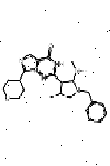 CC1CN(Cc2ccccc2)C(N(C)C)C1c1nn2c(C3CCOCC3)ncc2c(=O)[nH]1